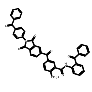 O=C(c1ccccc1)c1ccc(N2C(=O)c3ccc(C(=O)c4ccc(C(=O)O)c(C(=O)Nc5ccccc5C(=O)c5ccccc5)c4)cc3C2=O)cc1